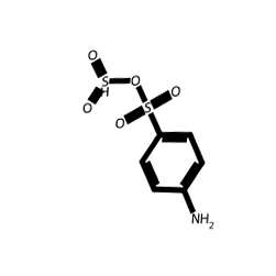 Nc1ccc(S(=O)(=O)O[SH](=O)=O)cc1